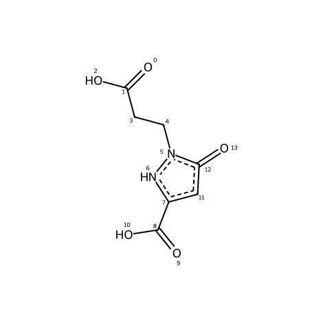 O=C(O)CCn1[nH]c(C(=O)O)cc1=O